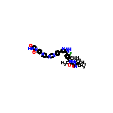 Cc1c(C(C)NC(=O)c2nc(C(C)(C)C)no2)ccc(-c2n[nH]c3ncc(-c4ccc(N5CCN(CC6CCN(c7ccc(N8CCC(=O)NC8=O)cc7)CC6)CC5)cc4)cc23)c1F